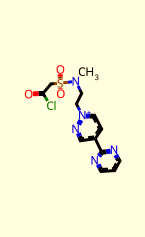 CN(CC[n+]1ccc(-c2ncccn2)cn1)S(=O)(=O)CC(=O)Cl